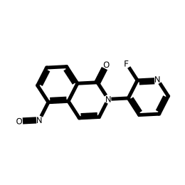 O=Nc1cccc2c(=O)n(-c3cccnc3F)ccc12